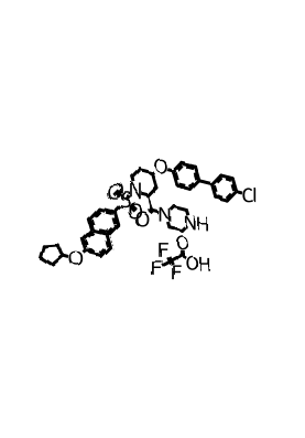 O=C(O)C(F)(F)F.O=C([C@@H]1C[C@@H](Oc2ccc(-c3ccc(Cl)cc3)cc2)CCN1S(=O)(=O)c1ccc2cc(OC3CCCC3)ccc2c1)N1CCNCC1